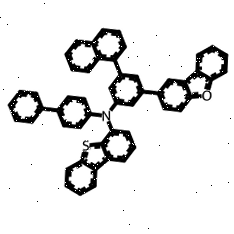 c1ccc(-c2ccc(N(c3cc(-c4ccc5oc6ccccc6c5c4)cc(-c4cccc5ccccc45)c3)c3cccc4c3sc3ccccc34)cc2)cc1